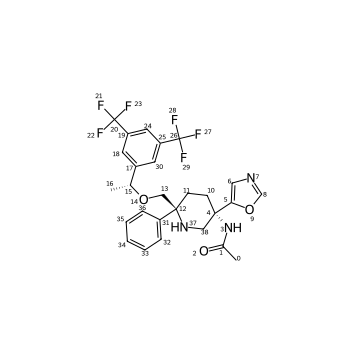 CC(=O)N[C@@]1(c2cnco2)CC[C@@](CO[C@H](C)c2cc(C(F)(F)F)cc(C(F)(F)F)c2)(c2ccccc2)NC1